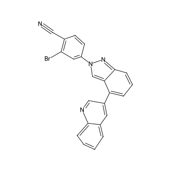 N#Cc1ccc(-n2cc3c(-c4cnc5ccccc5c4)cccc3n2)cc1Br